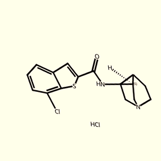 Cl.O=C(N[C@@H]1CN2CCC1CC2)c1cc2cccc(Cl)c2s1